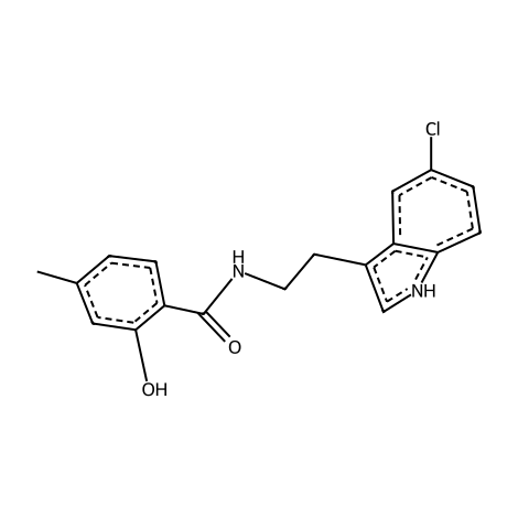 Cc1ccc(C(=O)NCCc2c[nH]c3ccc(Cl)cc23)c(O)c1